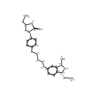 CCC1CN(c2ccc(CCCCOc3ccc4c(c3)B(O)O[C@@H]4CC)cc2)C(=O)O1